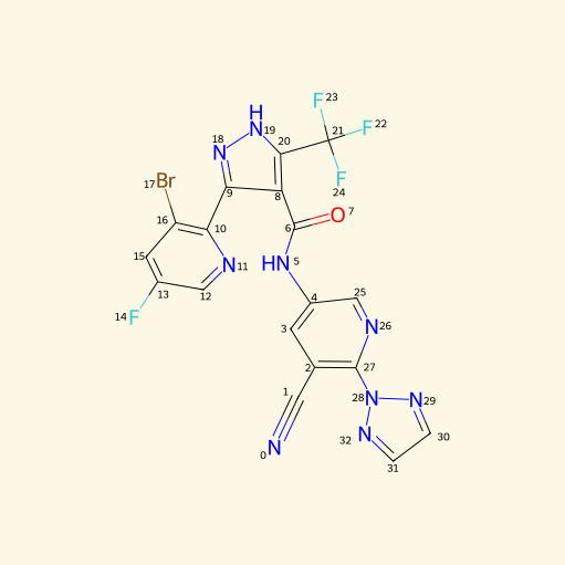 N#Cc1cc(NC(=O)c2c(-c3ncc(F)cc3Br)n[nH]c2C(F)(F)F)cnc1-n1nccn1